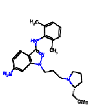 COC[C@H]1CCCN1CCCn1nc(Nc2c(C)cccc2C)c2ccc(N)cc21